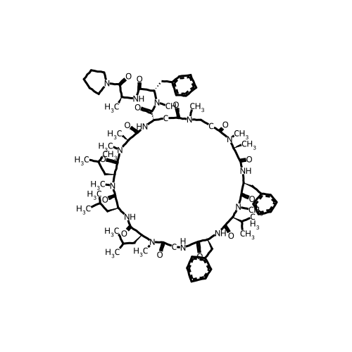 CC(C)C[C@@H]1NC(=O)[C@H](CC(C)C)N(C)C(=O)CNC(=O)[C@H](Cc2ccccc2)NC(=O)[C@H](C(C)C)N(C)C(=O)[C@H](Cc2ccccc2)NC(=O)[C@H](C)N(C)C(=O)CCN(C)C(=O)C[C@@H](C(=O)N(C)[C@@H](Cc2ccccc2)C(=O)N[C@@H](C)C(=O)N2CCCCC2)NC(=O)[C@H](C)N(C)C(=O)[C@H](CC(C)C)N(C)C1=O